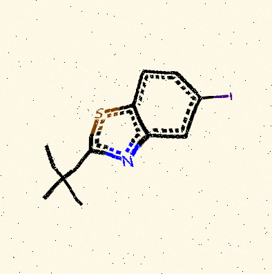 CC(C)(C)c1nc2cc(I)ccc2s1